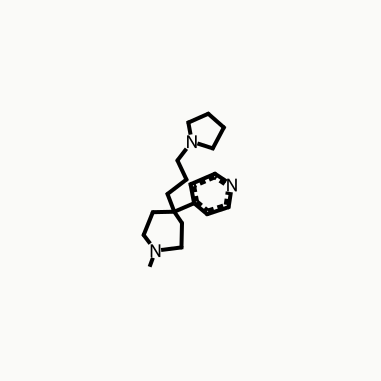 CN1CCC(CCCN2CCCC2)(c2ccncc2)CC1